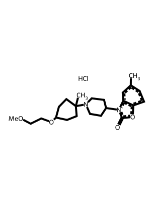 COCCOC1CCC(C)(N2CCC(n3c(=O)oc4ccc(C)cc43)CC2)CC1.Cl